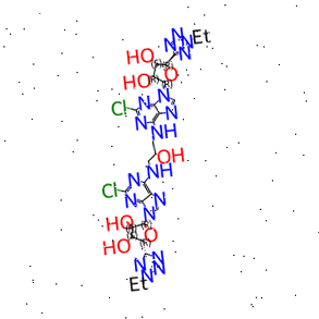 CCn1nnc([C@H]2O[C@@H](n3cnc4c(NCC(O)CNc5nc(Cl)nc6c5ncn6[C@@H]5O[C@H](c6nnn(CC)n6)[C@@H](O)[C@H]5O)nc(Cl)nc43)[C@H](O)[C@@H]2O)n1